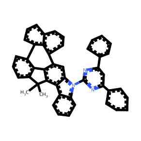 CC1(C)c2cccc3c2-c2c(cc4c(c21)c1ccccc1n4-c1nc(-c2ccccc2)cc(-c2ccccc2)n1)-c1cccc2cccc-3c12